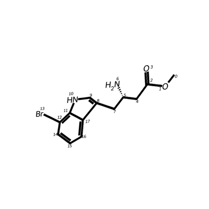 COC(=O)C[C@@H](N)Cc1c[nH]c2c(Br)cccc12